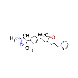 COC(=O)C(CCCc1ccccc1)CCc1ccc(-c2c(C)nn(C)c2C)cc1